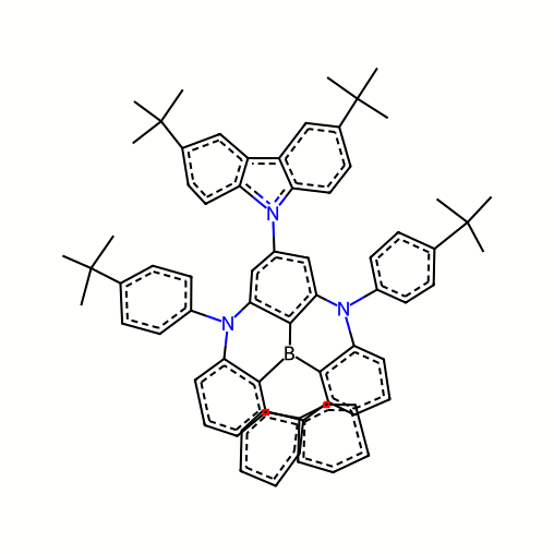 CC(C)(C)c1ccc(N2c3cccc(-c4ccccc4)c3B3c4c(-c5ccccc5)cccc4N(c4ccc(C(C)(C)C)cc4)c4cc(-n5c6ccc(C(C)(C)C)cc6c6cc(C(C)(C)C)ccc65)cc2c43)cc1